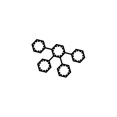 c1ccc(-c2ccc(-c3ccccc3)c(-c3ccccc3)c2-c2ccccc2)cc1